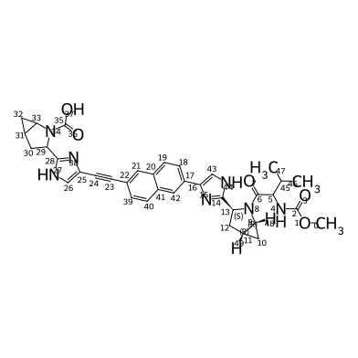 COC(=O)NC(C(=O)N1[C@@H]2C[C@@H]2C[C@H]1c1nc(-c2ccc3cc(C#Cc4c[nH]c(C5CC6CC6N5C(=O)O)n4)ccc3c2)c[nH]1)C(C)C